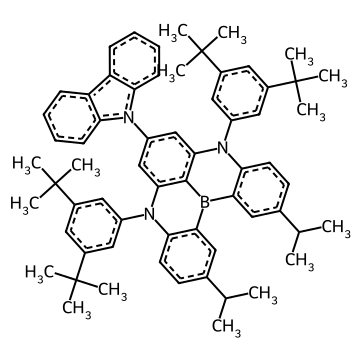 CC(C)c1ccc2c(c1)B1c3cc(C(C)C)ccc3N(c3cc(C(C)(C)C)cc(C(C)(C)C)c3)c3cc(-n4c5ccccc5c5ccccc54)cc(c31)N2c1cc(C(C)(C)C)cc(C(C)(C)C)c1